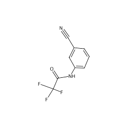 N#Cc1cccc(NC(=O)C(F)(F)F)c1